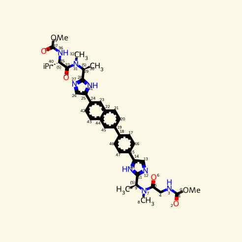 COC(=O)NCC(=O)N(C)[C@@H](C)c1ncc(-c2ccc(-c3ccc4cc(-c5cnc([C@H](C)N(C)C(=O)[C@@H](NC(=O)OC)C(C)C)[nH]5)ccc4c3)cc2)[nH]1